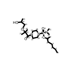 CCCCCC(C)OP(=O)(N(C)C)N1CCN(C(=O)C(C)(C)OCC(C)O)CC1